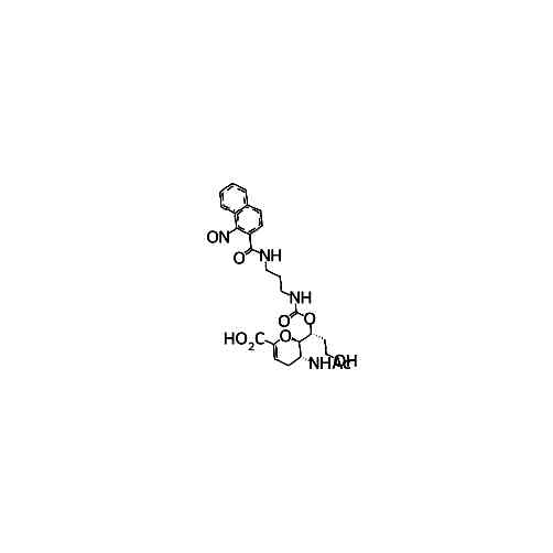 CC(=O)N[C@@H]1CC=C(C(=O)O)O[C@H]1[C@@H](CCO)OC(=O)NCCCNC(=O)c1ccc2ccccc2c1N=O